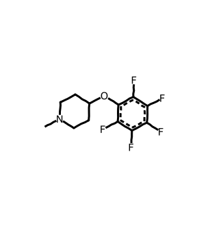 CN1CCC(Oc2c(F)c(F)c(F)c(F)c2F)CC1